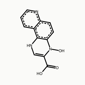 O=C(O)C1=CNc2c(ccc3ncccc23)N1O